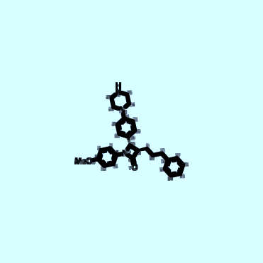 COc1ccc(N2C(=O)[C@H](CCCc3ccccc3)[C@H]2c2ccc(N3CCNCC3)cc2)cc1